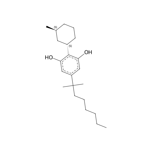 CCCCCCC(C)(C)c1cc(O)c([C@H]2CCC[C@H](C)C2)c(O)c1